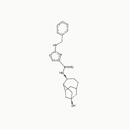 O=C(N[C@H]1CCC2CC3C[C@@](O)(C2)CC31)c1csc(NCc2ccccc2)n1